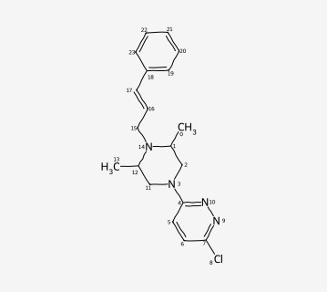 CC1CN(c2ccc(Cl)nn2)CC(C)N1CC=Cc1ccccc1